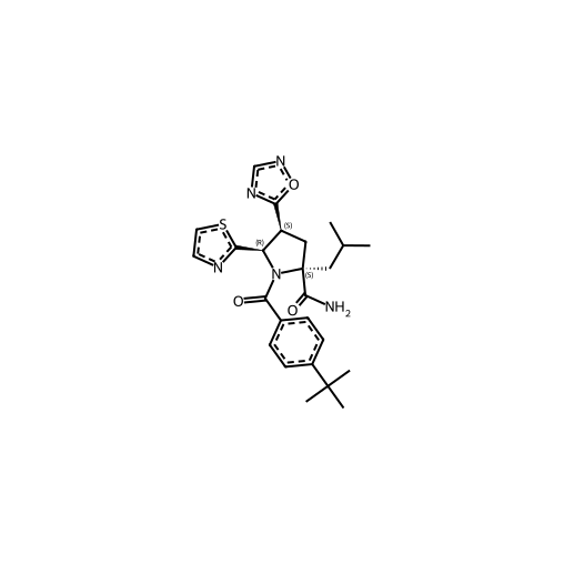 CC(C)C[C@@]1(C(N)=O)C[C@H](c2ncno2)[C@H](c2nccs2)N1C(=O)c1ccc(C(C)(C)C)cc1